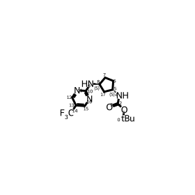 CC(C)(C)OC(=O)N[C@H]1CC[C@H](Nc2ncc(C(F)(F)F)cn2)C1